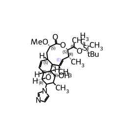 CO[C@H]1C[C@H]2C=C[C@@H]3[C@H]4[C@H](O)C(C)C(n5ccnc5)[C@@H]3O[C@]42/C(C)=C/[C@@H](C)[C@@H]([C@@H](C)O[Si](C)(C)C(C)(C)C)OC1=O